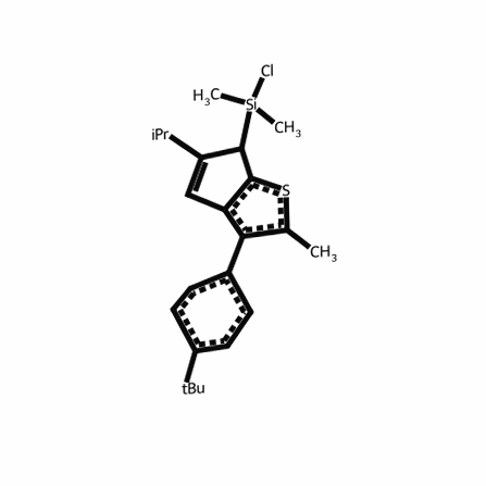 Cc1sc2c(c1-c1ccc(C(C)(C)C)cc1)C=C(C(C)C)C2[Si](C)(C)Cl